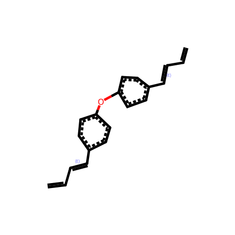 C=C/C=C/c1ccc(Oc2ccc(/C=C/C=C)cc2)cc1